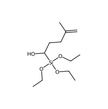 C=C(C)CCC(O)[Si](OCC)(OCC)OCC